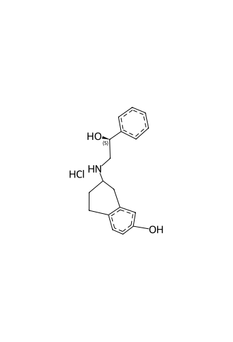 Cl.Oc1ccc2c(c1)CC(NC[C@@H](O)c1ccccc1)CC2